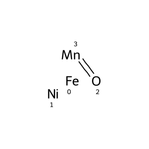 [Fe].[Ni].[O]=[Mn]